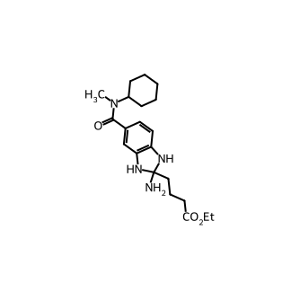 CCOC(=O)CCCC1(N)Nc2ccc(C(=O)N(C)C3CCCCC3)cc2N1